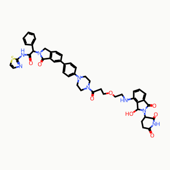 O=C1CCC(N2C(=O)c3cccc(NCCOCCC(=O)N4CCN(c5ccc(-c6ccc7c(c6)C(=O)N(C(C(=O)Nc6nccs6)c6ccccc6)C7)cc5)CC4)c3C2O)C(=O)N1